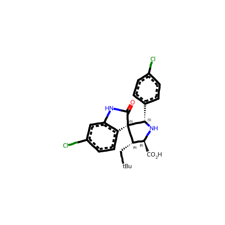 CC(C)(C)C[C@H]1[C@H](C(=O)O)N[C@@H](c2ccc(Cl)cc2)[C@]12C(=O)Nc1cc(Cl)ccc12